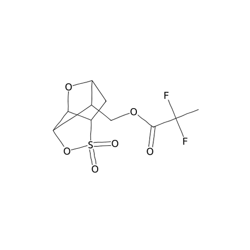 CC(F)(F)C(=O)OCC1C2CC3C(O2)C1OS3(=O)=O